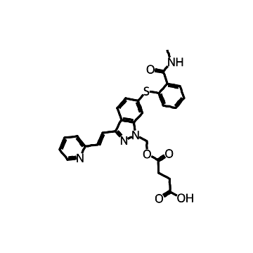 CNC(=O)c1ccccc1Sc1ccc2c(/C=C/c3ccccn3)nn(COC(=O)CCC(=O)O)c2c1